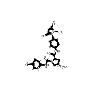 CO[C@@H]1C[C@H](C(=O)Nc2ccc(-n3c(=O)cc(C)n3C)cc2)N(C(=O)Nc2ccc(Cl)cn2)C1